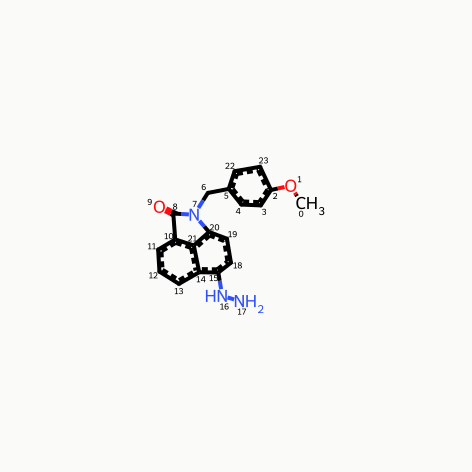 COc1ccc(CN2C(=O)c3cccc4c(NN)ccc2c34)cc1